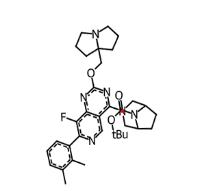 Cc1cccc(-c2ncc3c(N4CC5CCC(C4)N5C(=O)OC(C)(C)C)nc(OCC45CCCN4CCC5)nc3c2F)c1C